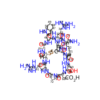 C[C@@H]1NC(=O)[C@@H]2CSSC[C@H](NC(=O)CN)C(=O)N[C@@H](CC=CC[C@@H](C(N)=O)NC(=O)[C@H](CCCNC(=N)N)NC(=O)[C@H](Cc3cc4ccccc4[nH]3)NC1=O)C(=O)N[C@@H](CO)C(=O)N[C@@H](CC(=O)O)C(=O)N1CCCC1C(=O)N[C@@H](CCCNC(=N)N)C(=O)N2